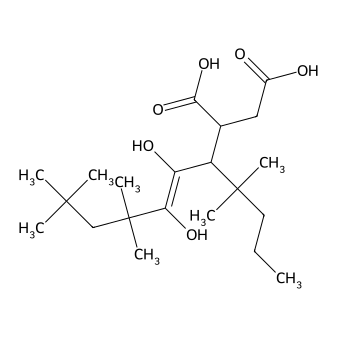 CCCC(C)(C)C(/C(O)=C(\O)C(C)(C)CC(C)(C)C)C(CC(=O)O)C(=O)O